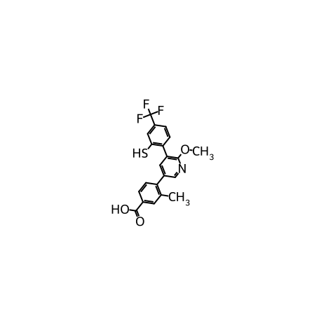 COc1ncc(-c2ccc(C(=O)O)cc2C)cc1-c1ccc(C(F)(F)F)cc1S